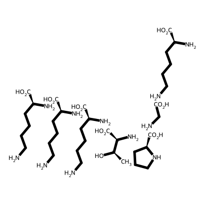 C[C@@H](O)[C@H](N)C(=O)O.NCC(=O)O.NCCCC[C@H](N)C(=O)O.NCCCC[C@H](N)C(=O)O.NCCCC[C@H](N)C(=O)O.NCCCC[C@H](N)C(=O)O.O=C(O)[C@@H]1CCCN1